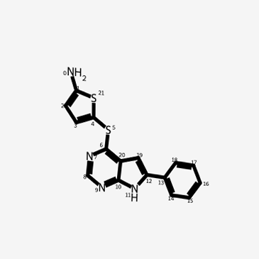 Nc1ccc(Sc2ncnc3[nH]c(-c4ccccc4)cc23)s1